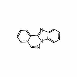 c1ccc2c(c1)cnn1c3ccccc3nc21